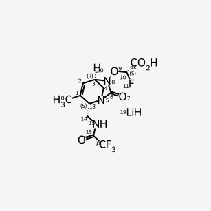 CC1=C[C@@H]2CN(C(=O)N2O[C@@H](F)C(=O)O)[C@@H]1CNC(=O)C(F)(F)F.[LiH]